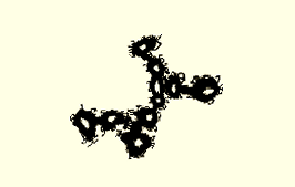 c1ccc(-c2ccc(N(c3ccccc3)c3ccc(-c4ccc5c(c4)Cc4cc(-c6ccccc6)ccc4N5c4ccc(-c5ccccc5)cc4)cc3)cc2)cc1